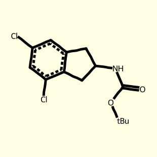 CC(C)(C)OC(=O)NC1Cc2cc(Cl)cc(Cl)c2C1